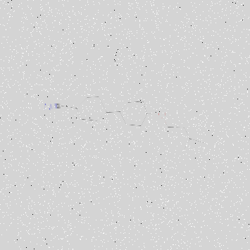 CC(C)CCOC1CCC(C2CCC(C#N)CC2)CC1